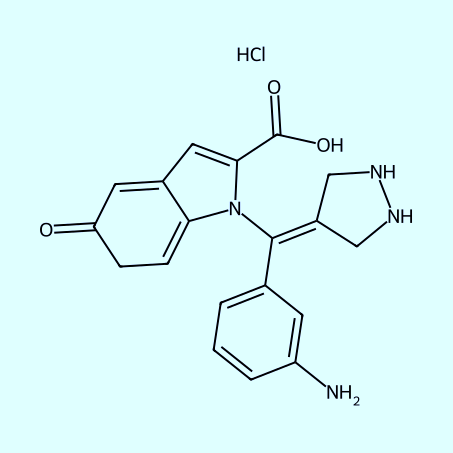 Cl.Nc1cccc(C(=C2CNNC2)n2c(C(=O)O)cc3c2=CCC(=O)C=3)c1